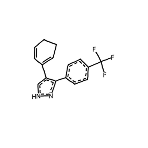 FC(F)(F)c1ccc(-c2n[nH]cc2C2=CCCC=C2)cc1